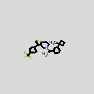 C=C(c1cccc(C2(C)CCC2)c1)N1CCc2scc(-c3ccc(C(F)(F)F)cc3)c2C1